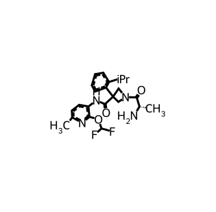 Cc1ccc(NC(=O)C2(c3ccccc3C(C)C)CN(C(=O)[C@H](C)N)C2)c(OC(F)F)n1